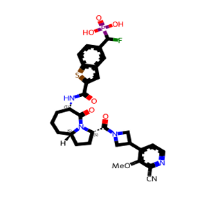 COc1c(C2CN(C(=O)[C@@H]3CC[C@@H]4CCC[C@H](NC(=O)c5cc6cc(C(F)P(=O)(O)O)ccc6s5)C(=O)N43)C2)ccnc1C#N